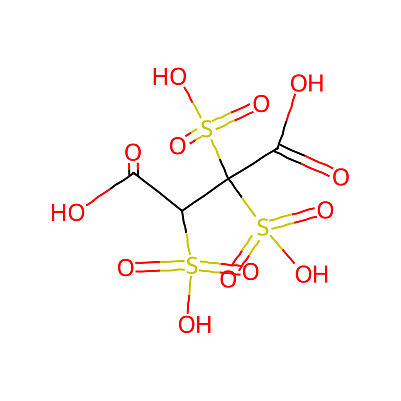 O=C(O)C(C(C(=O)O)(S(=O)(=O)O)S(=O)(=O)O)S(=O)(=O)O